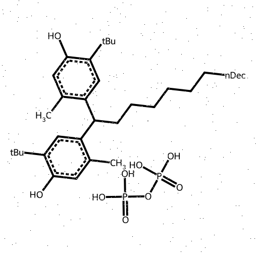 CCCCCCCCCCCCCCCCC(c1cc(C(C)(C)C)c(O)cc1C)c1cc(C(C)(C)C)c(O)cc1C.O=P(O)(O)OP(=O)(O)O